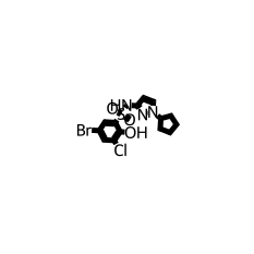 O=S(=O)(Nc1ccn(C2CCCC2)n1)c1cc(Br)cc(Cl)c1O